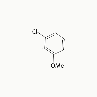 COc1[c]c(Cl)ccc1